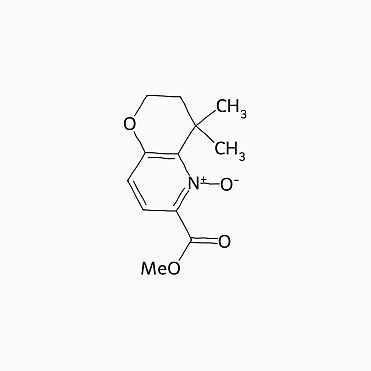 COC(=O)c1ccc2c([n+]1[O-])C(C)(C)CCO2